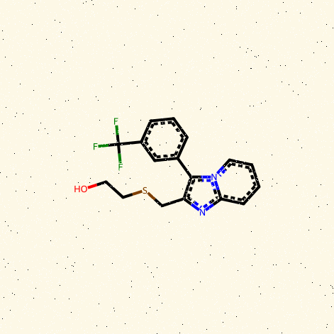 OCCSCc1nc2ccccn2c1-c1cccc(C(F)(F)F)c1